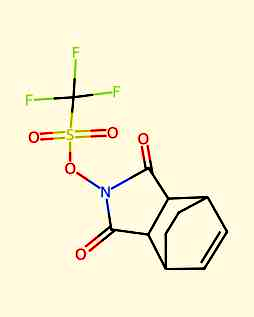 O=C1C2C3C=CC(CC3)C2C(=O)N1OS(=O)(=O)C(F)(F)F